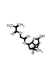 C=C(C)C(=O)OCC(=O)OC1C2OC(O)C3CC1[C@H](C)C32